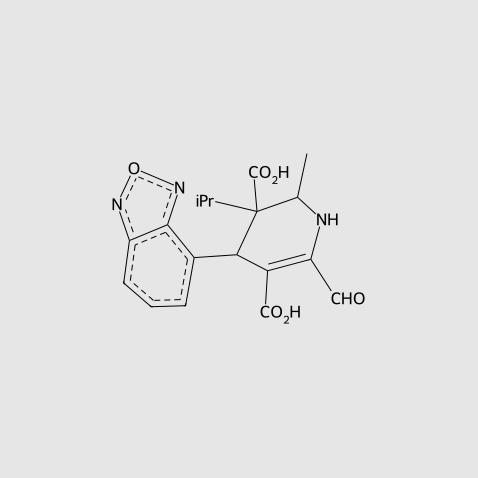 CC(C)C1(C(=O)O)C(C)NC(C=O)=C(C(=O)O)C1c1cccc2nonc12